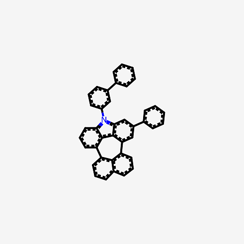 c1ccc(-c2cccc(-n3c4cccc5c4c4c(cc(-c6ccccc6)cc43)-c3cccc4cccc-5c34)c2)cc1